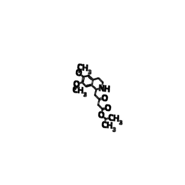 COc1cc2c(cc1OC)C(CC(=O)CC(=O)OC(C)C)NCC2